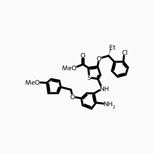 CC[C@@H](Oc1cc(Nc2cc(OCc3ccc(OC)cc3)ccc2N)sc1C(=O)OC)c1ccccc1Cl